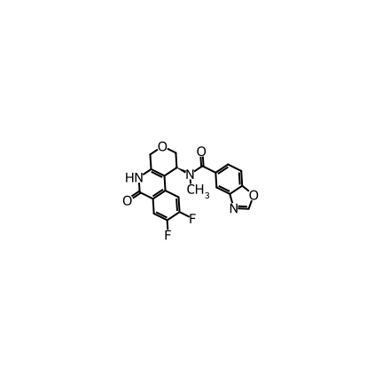 CN(C(=O)c1ccc2ocnc2c1)[C@@H]1COCc2[nH]c(=O)c3cc(F)c(F)cc3c21